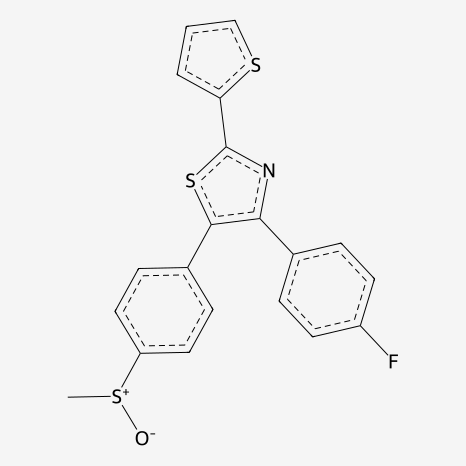 C[S+]([O-])c1ccc(-c2sc(-c3cccs3)nc2-c2ccc(F)cc2)cc1